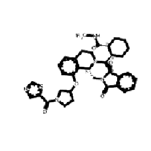 CNC(=O)[C@H]1CCCC[C@H]1C(=O)N1CCc2cccc(OC3CCN(C(=O)c4cncs4)C3)c2[C@H]1CN1C(=O)c2ccccc2C1=O